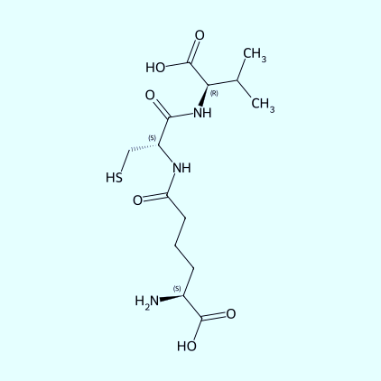 CC(C)[C@@H](NC(=O)[C@@H](CS)NC(=O)CCC[C@H](N)C(=O)O)C(=O)O